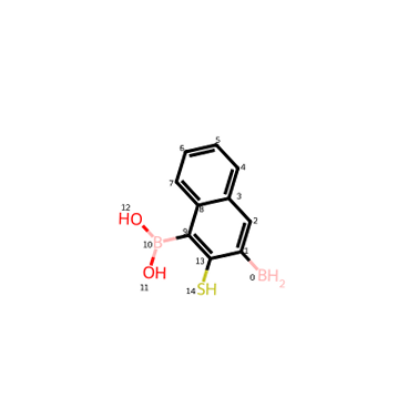 Bc1cc2ccccc2c(B(O)O)c1S